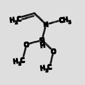 C=CN(C)[SiH](OC)OC